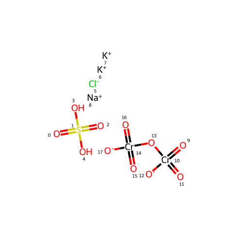 O=S(=O)(O)O.[Cl-].[K+].[K+].[Na+].[O]=[Cr](=[O])([O-])[O][Cr](=[O])(=[O])[O-]